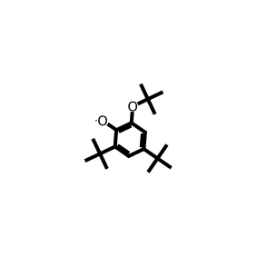 CC(C)(C)Oc1cc(C(C)(C)C)cc(C(C)(C)C)c1[O]